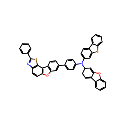 C1=c2oc3ccccc3c2=CCC1N(c1ccc(-c2ccc3c(c2)oc2ccc4nc(-c5ccccc5)sc4c23)cc1)c1ccc2c(c1)sc1ccccc12